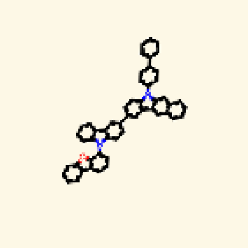 c1ccc(-c2ccc(-n3c4ccc(-c5ccc6c(c5)c5ccccc5n6-c5cccc6c5oc5ccccc56)cc4c4cc5ccccc5cc43)cc2)cc1